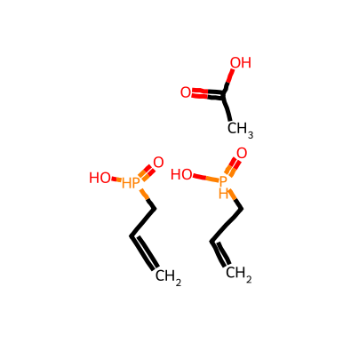 C=CC[PH](=O)O.C=CC[PH](=O)O.CC(=O)O